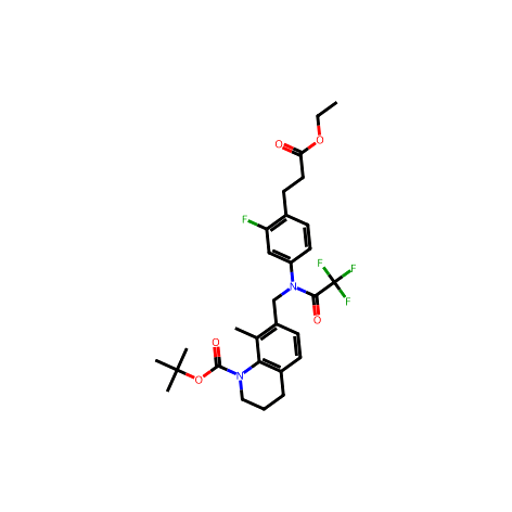 CCOC(=O)CCc1ccc(N(Cc2ccc3c(c2C)N(C(=O)OC(C)(C)C)CCC3)C(=O)C(F)(F)F)cc1F